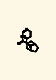 O=C(O)N1CC2CCC(C1)N2Cc1ccncc1